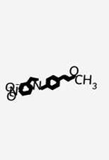 CC(=O)C=Cc1ccc(CN2CCc3cc([N+](=O)[O-])ccc32)cc1